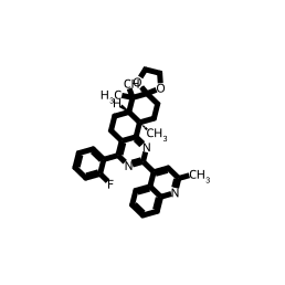 Cc1cc(-c2nc(-c3ccccc3F)c3c(n2)[C@]2(C)CCC4(OCCO4)C(C)(C)[C@H]2CC3)c2ccccc2n1